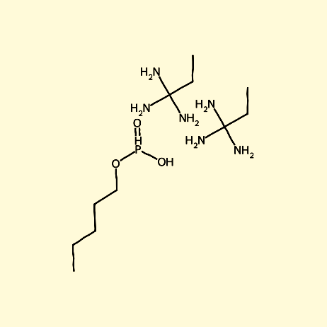 CCC(N)(N)N.CCC(N)(N)N.CCCCCO[PH](=O)O